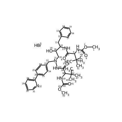 Br.COC(=O)NC(C(=O)NC(Cc1ccccc1)C(O)CN(Cc1ccc(-c2ccccn2)cc1)NC(=O)C(NC(=O)OC)C(C)(C)C)C(C)(C)C